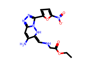 CCOC(=O)CNC=C1Nn2c(nnc2-c2ccc([N+](=O)[O-])o2)C=C1N